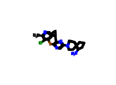 Cc1nccc(Sc2ncc(N3CCC4(CCC[C@H]4N)CC3)nc2C2CC2)c1Cl